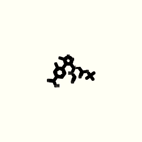 Cc1cc(C(=O)O)ccc1-c1c(C)noc1[C@H](CC(=O)OC(C)(C)C)NC=O